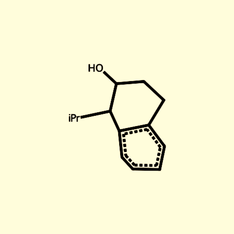 CC(C)C1c2ccccc2CCC1O